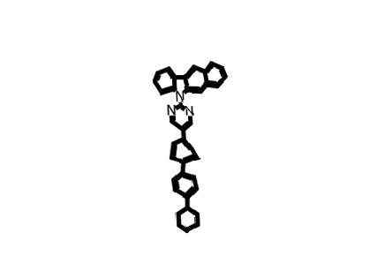 c1ccc2cc3c(cc2c1)c1ccccc1n3-c1ncc(-c2ccc(-c3ccc(C4CCCCC4)cc3)cc2)cn1